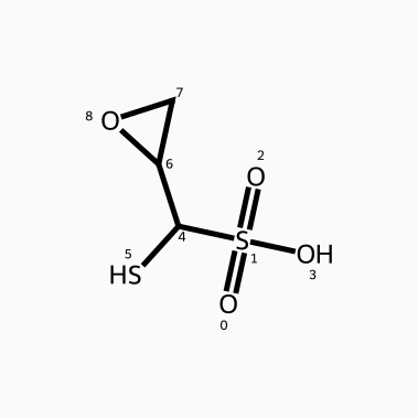 O=S(=O)(O)C(S)C1CO1